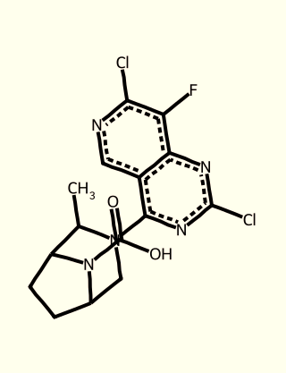 CC1C2CCC(CN1c1nc(Cl)nc3c(F)c(Cl)ncc13)N2C(=O)O